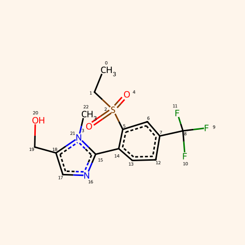 CCS(=O)(=O)c1cc(C(F)(F)F)ccc1-c1ncc(CO)n1C